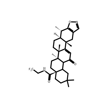 C[C@@H]1c2oncc2C[C@]2(C)C3=CC(=O)C4C5CC(C)(C)CC[C@]5(C(=O)NCC(F)(F)F)CC[C@@]4(C)[C@]3(C)CC[C@@H]12